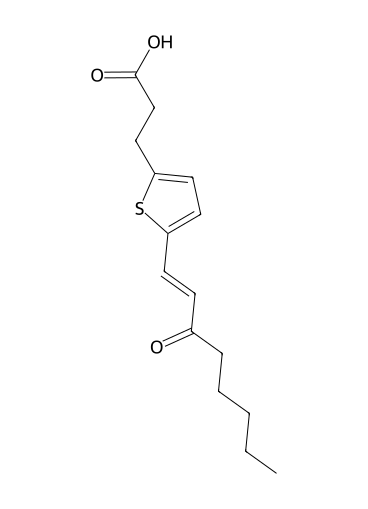 CCCCCC(=O)/C=C/c1ccc(CCC(=O)O)s1